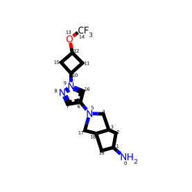 NC1CC2CN(c3cnn(C4CC(OC(F)(F)F)C4)c3)CC2C1